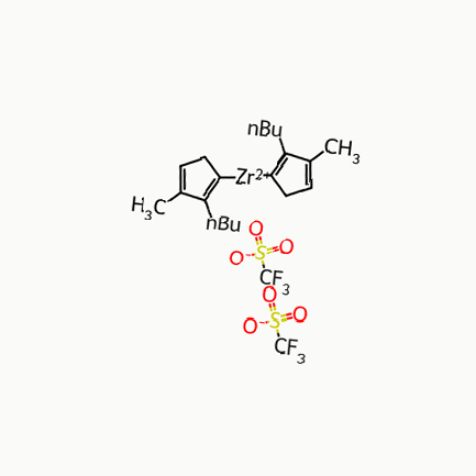 CCCCC1=[C]([Zr+2][C]2=C(CCCC)C(C)=CC2)CC=C1C.O=S(=O)([O-])C(F)(F)F.O=S(=O)([O-])C(F)(F)F